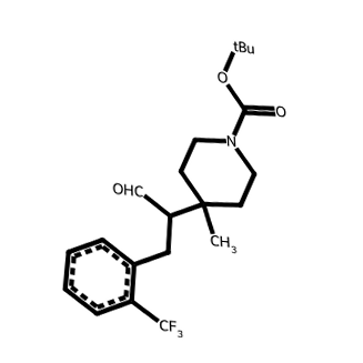 CC(C)(C)OC(=O)N1CCC(C)(C(C=O)Cc2ccccc2C(F)(F)F)CC1